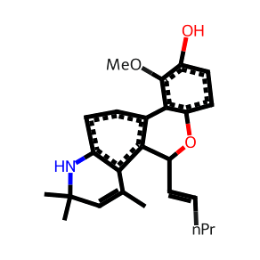 CCCC=CC1Oc2ccc(O)c(OC)c2-c2ccc3c(c21)C(C)=CC(C)(C)N3